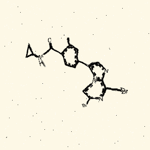 Cc1cc(-c2cnc3c(Br)nc(Br)cn23)ccc1C(=O)NC1CC1